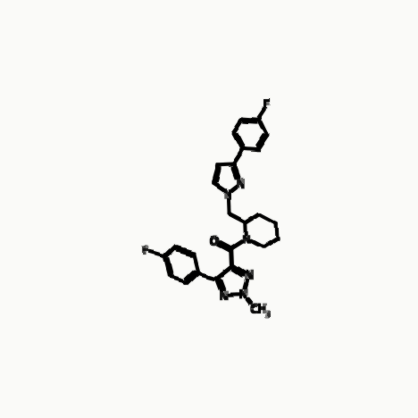 Cn1nc(C(=O)N2CCCCC2Cn2ccc(-c3ccc(F)cc3)n2)c(-c2ccc(F)cc2)n1